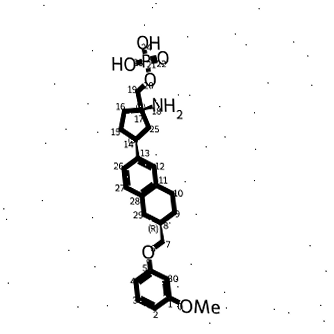 COc1cccc(OC[C@@H]2CCc3cc([C@H]4CC[C@](N)(COP(=O)(O)O)C4)ccc3C2)c1